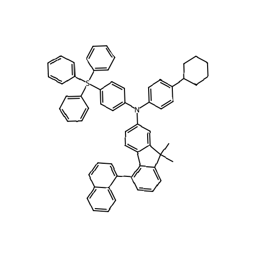 CC1(C)c2cc(N(c3ccc(C4CCCCC4)cc3)c3ccc(S(c4ccccc4)(c4ccccc4)c4ccccc4)cc3)ccc2-c2c(-c3cccc4ccccc34)cccc21